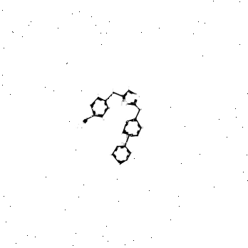 N#Cc1ccc(Cc2cnc(Cc3ccc(-c4ccccc4)cc3)[nH]2)cc1